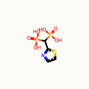 O=P(O)(O)C(c1nccs1)P(=O)(O)O